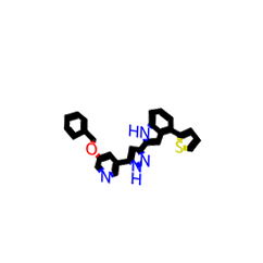 c1ccc(COc2cncc(-c3cc(-c4cc5c(-c6cccs6)cccc5[nH]4)n[nH]3)c2)cc1